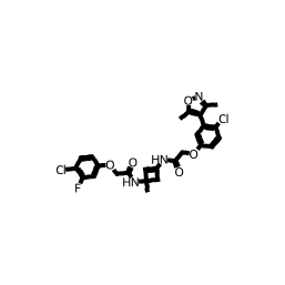 Cc1noc(C)c1-c1cc(OCC(=O)NC2=CC(C)(NC(=O)COc3ccc(Cl)c(F)c3)C2)ccc1Cl